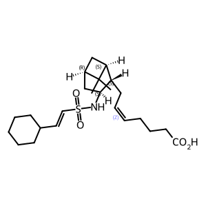 CC1(C)[C@H]2C[C@H](NS(=O)(=O)C=CC3CCCCC3)[C@@H](C/C=C\CCCC(=O)O)[C@@H]1C2